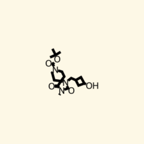 CN1C(=O)N(CC2CC(O)C2)C2(CCN(C(=O)OC(C)(C)C)CC2)C1=O